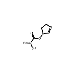 O=C(ON1C=NCC1)N(S)S